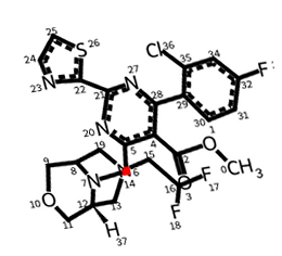 COC(=O)c1c(CN2C3COC[C@H]2CN(CC(F)F)C3)nc(-c2nccs2)nc1-c1ccc(F)cc1Cl